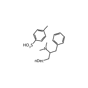 CCCCCCCCCCCC(Cc1ccccc1)N(C)C.Cc1ccc(S(=O)(=O)O)cc1